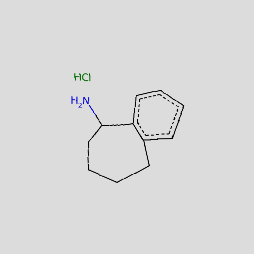 Cl.NC1CCCCc2ccccc21